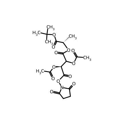 CC(=O)OC(C(=O)O[C@@H](C)C(=O)OC(C)(C)C)[C@H](OC(C)=O)C(=O)ON1C(=O)CCC1=O